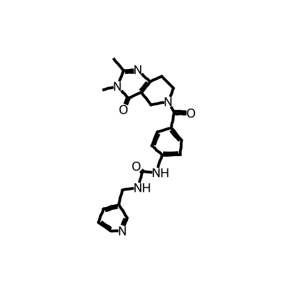 Cc1nc2c(c(=O)n1C)CN(C(=O)c1ccc(NC(=O)NCc3cccnc3)cc1)CC2